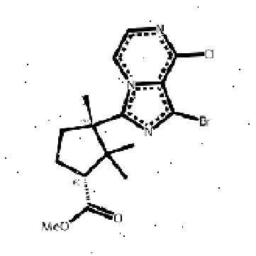 COC(=O)[C@@H]1CC[C@](C)(c2nc(Br)c3c(Cl)nccn23)C1(C)C